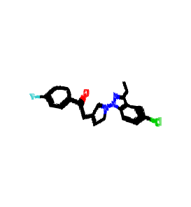 CCc1nn(N2CCC(CC(=O)c3ccc(F)cc3)C2)c2ccc(Cl)cc12